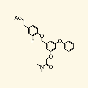 CC(=O)CCc1ccc(OCc2cc(OCC(=O)N(C)C)cc(Oc3ccccc3)c2)c(F)c1